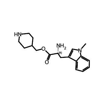 Cn1cc(C[C@@H](N)C(=O)OCC2CCNCC2)c2ccccc21